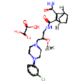 CCCCCCCCCCOC(CNC(=O)C1C(C(N)=O)[C@@H]2CC[C@H]1C2)CN1CCN(c2cccc(Cl)c2)CC1.O=C(O)C(=O)O